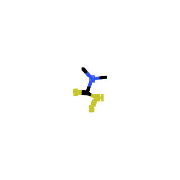 CN(C)C(=S)[SH]=S